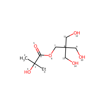 CCC(C)(O)C(=O)OCC(CO)(CO)CO